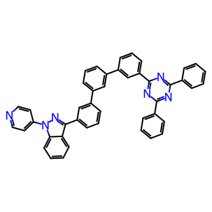 c1ccc(-c2nc(-c3ccccc3)nc(-c3cccc(-c4cccc(-c5cccc(-c6nn(-c7ccncc7)c7ccccc67)c5)c4)c3)n2)cc1